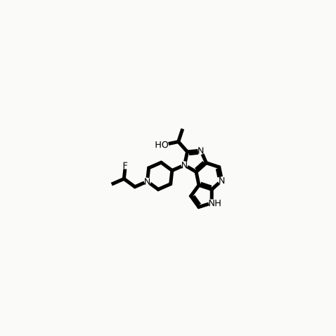 CC(F)CN1CCC(n2c(C(C)O)nc3cnc4[nH]ccc4c32)CC1